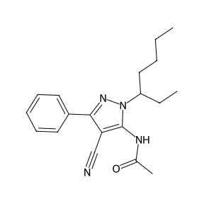 CCCCC(CC)n1nc(-c2ccccc2)c(C#N)c1NC(C)=O